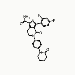 NC(=O)c1nn(-c2ccc(F)cc2F)c2c1CCN(c1ccc(N3CCCCC3=O)cc1)C2=O